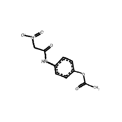 CC(=O)Oc1ccc(NC(=O)C[N+](=O)[O-])cc1